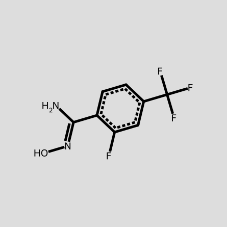 N/C(=N\O)c1ccc(C(F)(F)F)cc1F